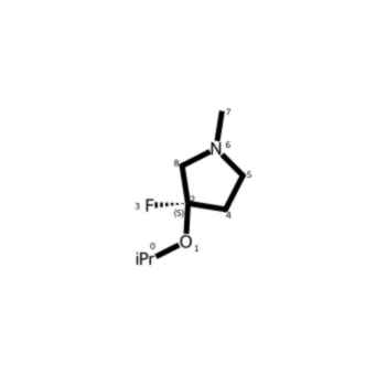 CC(C)O[C@]1(F)CCN(C)C1